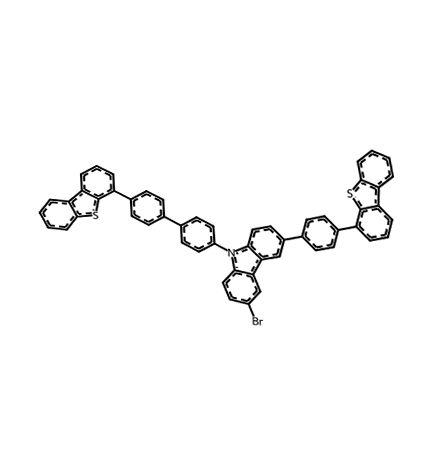 Brc1ccc2c(c1)c1cc(-c3ccc(-c4cccc5c4sc4ccccc45)cc3)ccc1n2-c1ccc(-c2ccc(-c3cccc4c3sc3ccccc34)cc2)cc1